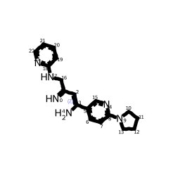 N=C(/C=C(\N)c1ccc(N2CCCC2)nc1)CNc1ccccn1